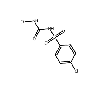 CCNC(=O)NS(=O)(=O)c1ccc(Cl)cc1